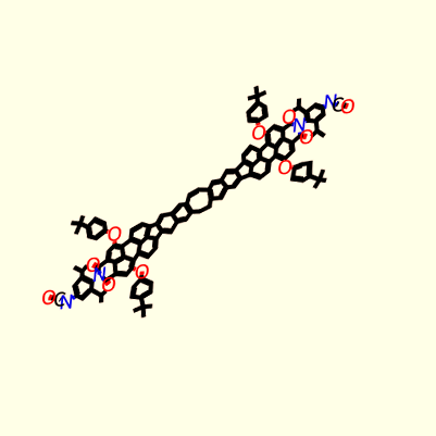 CC(C)c1cc(N=C=O)cc(C(C)C)c1N1C(=O)c2cc(Oc3ccc(C(C)(C)C)cc3)c3c4ccc5c6c(ccc(c7c(Oc8ccc(C(C)(C)C)cc8)cc(c2c37)C1=O)c64)-c1cc2cc3c(cc2cc1-5)/C=C\c1cc2cc4c(cc2cc1CC3)-c1ccc2c3c(Oc5ccc(C(C)(C)C)cc5)cc5c6c(cc(Oc7ccc(C(C)(C)C)cc7)c(c7ccc-4c1c72)c63)C(=O)N(c1c(C(C)C)cc(N=C=O)cc1C(C)C)C5=O